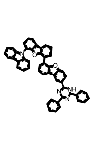 c1ccc(C2=NC(c3ccccc3)NC(c3ccc4oc5c(-c6cccc7c6oc6c(-n8c9ccccc9c9ccccc98)cccc67)cccc5c4c3)=N2)cc1